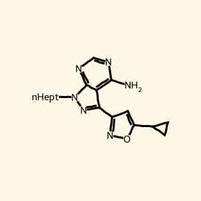 CCCCCCCn1nc(-c2cc(C3CC3)on2)c2c(N)ncnc21